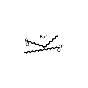 CCCCCCCC/C=C/CCCCCCCC(=O)[O-].CCCCCCCC/C=C\CCCCCCCC(=O)[O-].[Ba+2]